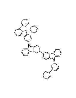 c1ccc(-c2cccc(-n3c4ccccc4c4cc(-c5ccc6c(c5)c5ccccc5n6-c5ccc(C6(c7ccccc7)c7ccccc7-c7ccccc76)cc5)ccc43)c2)cc1